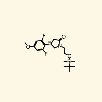 COc1cc(F)c([C@H]2CC(=O)N(CCO[Si](C)(C)C(C)(C)C)C2)c(F)c1